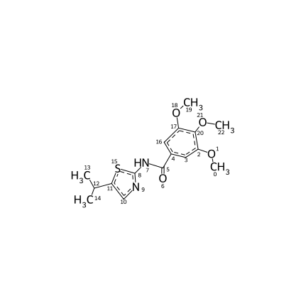 COc1cc(C(=O)Nc2ncc(C(C)C)s2)cc(OC)c1OC